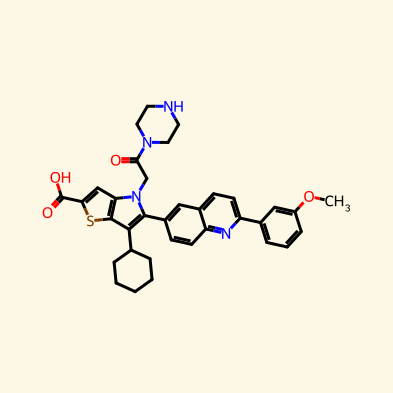 COc1cccc(-c2ccc3cc(-c4c(C5CCCCC5)c5sc(C(=O)O)cc5n4CC(=O)N4CCNCC4)ccc3n2)c1